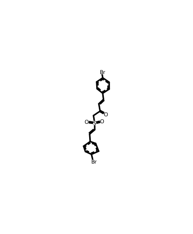 O=C(/C=C/c1ccc(Br)cc1)CS(=O)(=O)/C=C/c1ccc(Br)cc1